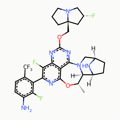 C[C@@H]1Oc2nc(-c3c(C(F)(F)F)ccc(N)c3F)c(F)c3nc(OC[C@@]45CCCN4C[C@H](F)C5)nc(c23)N2C[C@H]3CC[C@H](N3)[C@@H]12